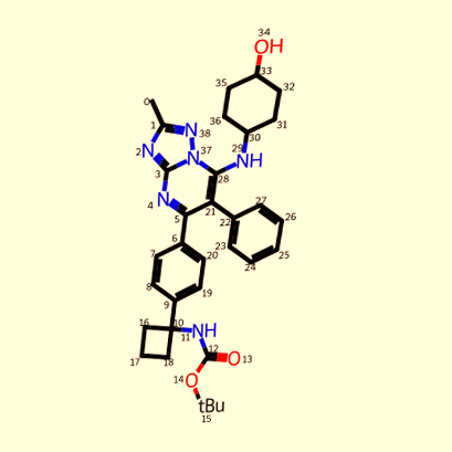 Cc1nc2nc(-c3ccc(C4(NC(=O)OC(C)(C)C)CCC4)cc3)c(-c3ccccc3)c(NC3CCC(O)CC3)n2n1